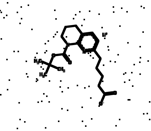 CC(C)(C)OC(=O)N1CCCc2ccc(CCCCC(=O)[O-])nc21.[Li+]